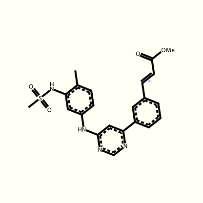 COC(=O)/C=C/c1cccc(-c2cc(Nc3ccc(C)c(NS(C)(=O)=O)c3)ncn2)c1